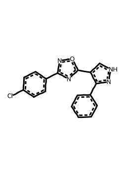 Clc1ccc(-c2noc(-c3c[nH]nc3-c3ccccc3)n2)cc1